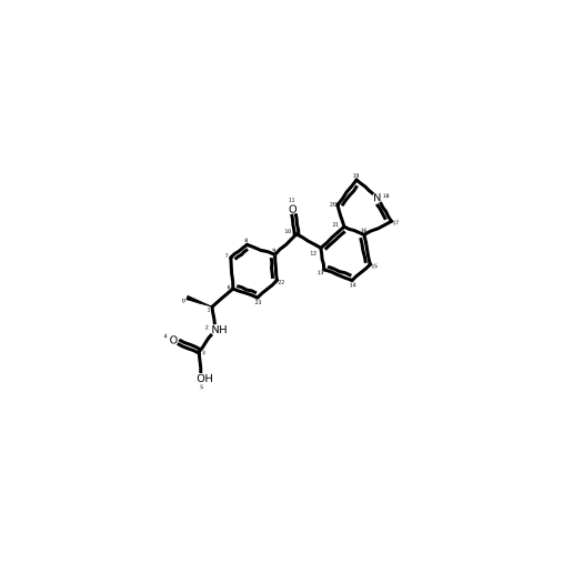 C[C@H](NC(=O)O)c1ccc(C(=O)c2cccc3cnccc23)cc1